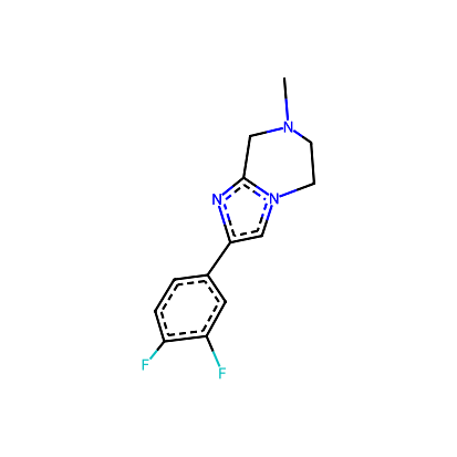 CN1CCn2cc(-c3ccc(F)c(F)c3)nc2C1